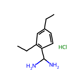 CCc1ccc(C(N)N)c(CC)c1.Cl